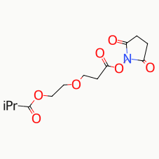 CC(C)C(=O)OCCOCCC(=O)ON1C(=O)CCC1=O